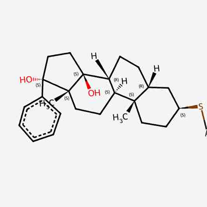 CC(=O)S[C@H]1CC[C@@]2(C)[C@H](CC[C@@H]3[C@@H]2CC[C@]2(C)[C@@](O)(c4ccccc4)CC[C@]32O)C1